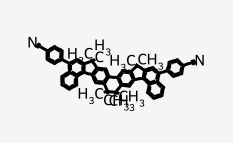 CC1(C)c2cc3c(cc2-c2c1cc(-c1ccc(C#N)cc1)c1ccccc21)C(C)(C)C(C)(C)c1cc2c(cc1-3)C(C)(C)c1cc(-c3ccc(C#N)cc3)c3ccccc3c1-2